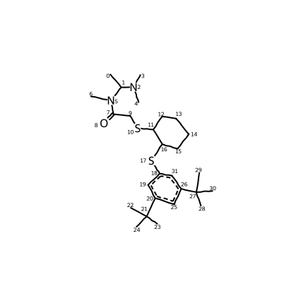 CC(N(C)C)N(C)C(=O)CSC1CCCCC1Sc1cc(C(C)(C)C)cc(C(C)(C)C)c1